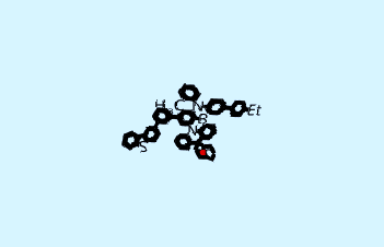 CCc1ccc(-c2ccc3c(c2)B2c4cccc5c4N(c4ccccc4C54C5CC6CC7CC5C4(C7)C6)c4cc(-c5cccc(-c6ccc7sc8ccccc8c7c6)c5)cc(c42)N3c2ccccc2C)cc1